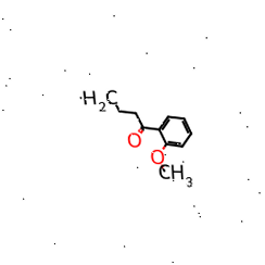 [CH2]CCC(=O)c1ccccc1OC